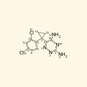 Nc1nnc(C2(c3ccc(Cl)cc3Cl)CC2)c(N)n1